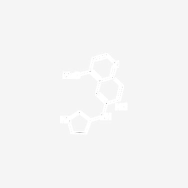 COc1ccnc2ccc(NC3CCNC3)cc12.Cl